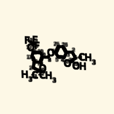 C[C@@H](Cc1ccc(OCc2cc(OC(F)(F)F)cc3c2OC(C)(C)C3)cc1)C(=O)O